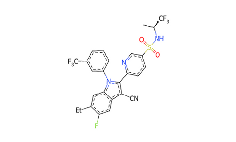 CCc1cc2c(cc1F)c(C#N)c(-c1ccc(S(=O)(=O)N[C@@H](C)C(F)(F)F)cn1)n2-c1cccc(C(F)(F)F)c1